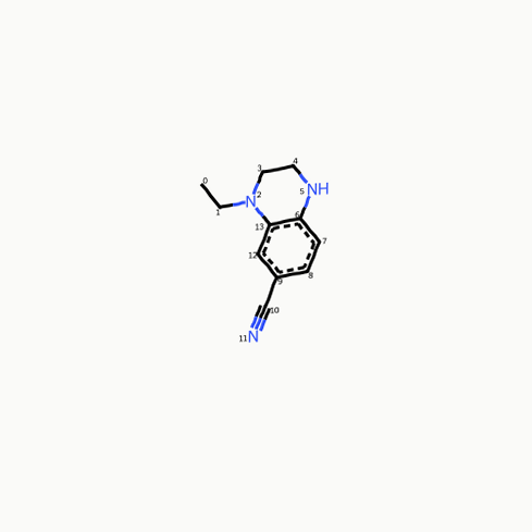 CCN1CCNc2ccc(C#N)cc21